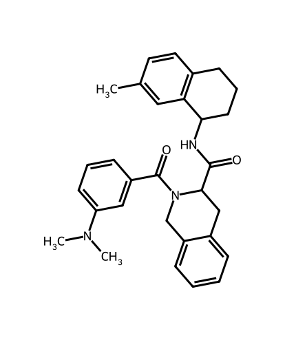 Cc1ccc2c(c1)C(NC(=O)C1Cc3ccccc3CN1C(=O)c1cccc(N(C)C)c1)CCC2